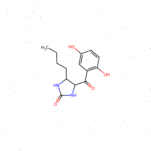 CCCCC1NC(=O)NC1C(=O)c1cc(O)ccc1O